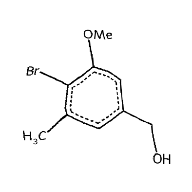 COc1cc(CO)cc(C)c1Br